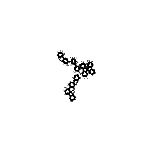 c1ccc(C2(c3ccccc3)c3ccccc3-c3c(N(c4ccc(-c5ccc(-c6cccc7c6oc6ccccc67)cc5)cc4)c4ccc(-c5cccc(-c6ccc7sc8ccccc8c7c6)c5)cc4)cccc32)cc1